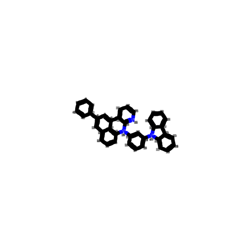 c1ccc(-c2cc3c4c(cccc4c2)N(c2cccc(-n4c5ccccc5c5ccccc54)c2)c2ncccc2-3)cc1